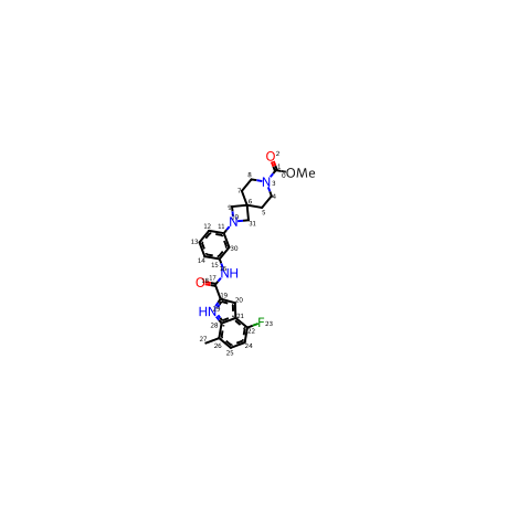 COC(=O)N1CCC2(CC1)CN(c1cccc(NC(=O)c3cc4c(F)ccc(C)c4[nH]3)c1)C2